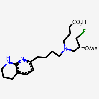 CO[C@H](CF)CN(CCCCc1ccc2c(n1)NCCC2)CCCC(=O)O